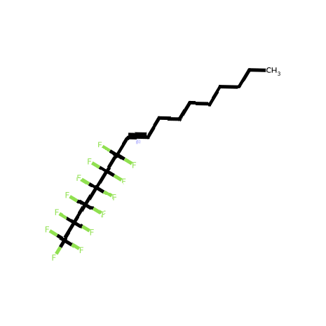 CCCCCCCC/C=C/C(F)(F)C(F)(F)C(F)(F)C(F)(F)C(F)(F)C(F)(F)F